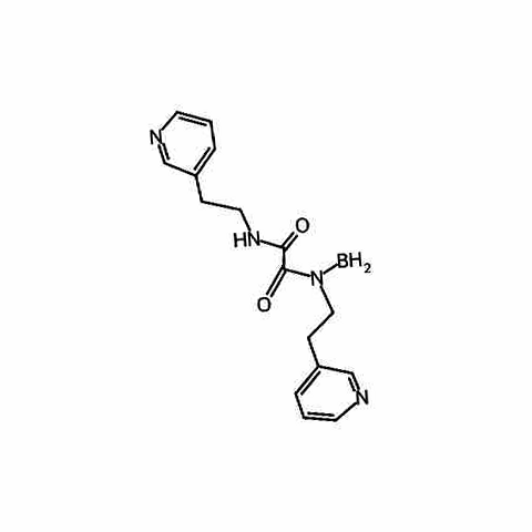 BN(CCc1cccnc1)C(=O)C(=O)NCCc1cccnc1